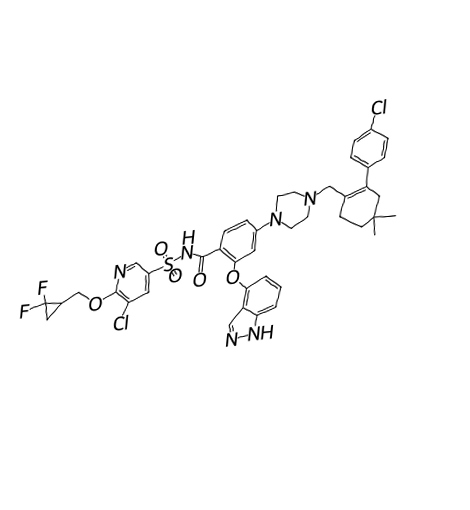 CC1(C)CCC(CN2CCN(c3ccc(C(=O)NS(=O)(=O)c4cnc(OCC5CC5(F)F)c(Cl)c4)c(Oc4cccc5[nH]ncc45)c3)CC2)=C(c2ccc(Cl)cc2)C1